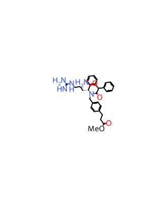 COC(=O)CCc1ccc(CN(C(=O)C(c2ccccc2)c2ccccc2)[C@H](CCCNC(=N)N)C(N)=O)cc1